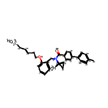 [2H]C1(N(Cc2ccccc2OCCCCCC(=O)O)C(=O)c2ccc(-c3ccc(C)cc3)cc2)CC1